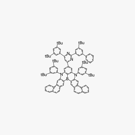 CC(C)(C)c1cc(-c2ccccc2)cc(-c2nc(-c3cc(C(C)(C)C)cc(C(C)(C)C)c3)cc(-c3cc4c5c(c3)N(c3cc(C(C)(C)C)cc(C(C)(C)C)c3)c3cc6c(ccc7ccccc76)cc3B5c3cc5ccc6ccccc6c5cc3N4c3cc(C(C)(C)C)cc(C(C)(C)C)c3)n2)c1